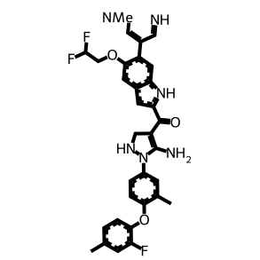 CN/C=C(\C=N)c1cc2[nH]c(C(=O)C3=C(N)N(c4ccc(Oc5ccc(C)cc5F)c(C)c4)NC3)cc2cc1OCC(F)F